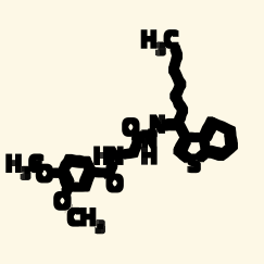 CCCCCC/C(=N/NC(=O)CNC(=O)c1ccc(OC)c(OC)c1)c1csc2ccccc12